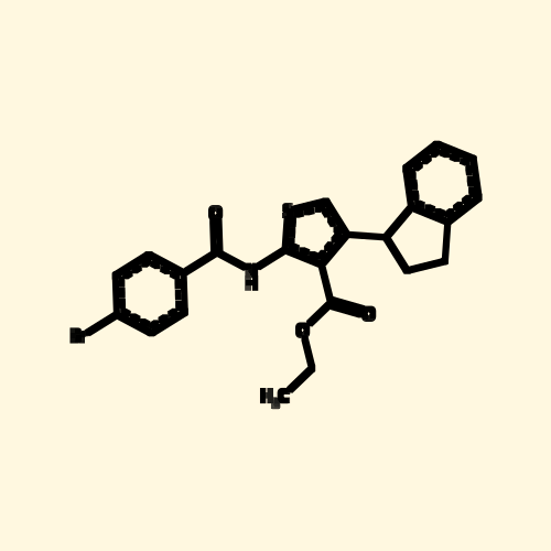 CCOC(=O)c1c(C2CCc3ccccc32)csc1NC(=O)c1ccc(Br)cc1